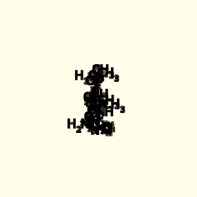 CC(C)C(NC(=O)Cn1c(-c2ccccc2)ncc(N)c1=O)C(=O)C(F)(F)C(=O)NCCC(=O)OC(C)(C)C